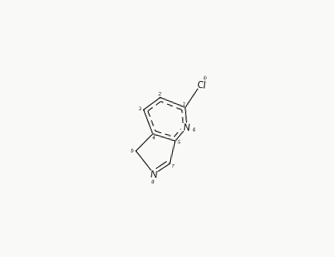 Clc1ccc2c(n1)C=NC2